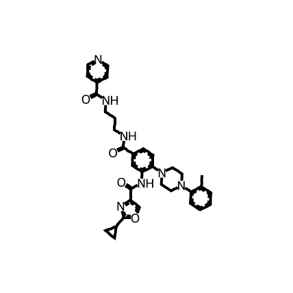 Cc1ccccc1N1CCN(c2ccc(C(=O)NCCCNC(=O)c3ccncc3)cc2NC(=O)c2coc(C3CC3)n2)CC1